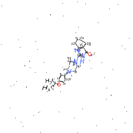 CC(C)Oc1ccc(N2CCN(c3nc4c(c(=O)[nH]3)CCCC4)CC2)cc1